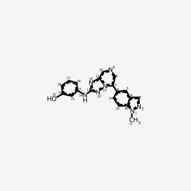 Cn1ncc2cc(-c3cncc4nc(Nc5cccc(O)c5)nn34)ccc21